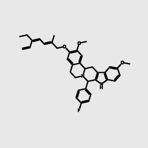 C=C/C(=C\C=C(/C)COc1cc2c(cc1OC)C1Cc3c([nH]c4ccc(OC)cc34)C(c3ccc(F)cc3)N1CC2)CC